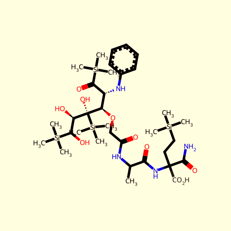 CC(NC(=O)CO[C@H]([C@@H](Nc1ccccc1)C(=O)[Si](C)(C)C)[C@](O)([C@H](O)C(O)[Si](C)(C)C)[Si](C)(C)C)C(=O)NC(CC[Si](C)(C)C)(C(N)=O)C(=O)O